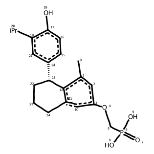 Cc1cc(OCP(=O)(O)O)cc2c1[C@@H](c1ccc(O)c(C(C)C)c1)CCC2